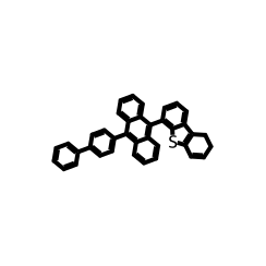 C1=Cc2sc3c(-c4c5ccccc5c(-c5ccc(-c6ccccc6)cc5)c5ccccc45)cccc3c2CC1